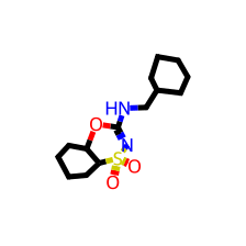 O=S1(=O)N=C(NCC2CCCCC2)OC2CCCCC21